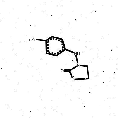 CCCc1ccc(NN2CCOC2=O)cc1